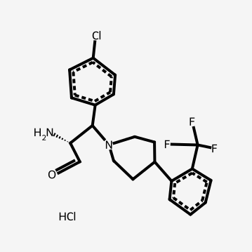 Cl.N[C@@H](C=O)C(c1ccc(Cl)cc1)N1CCC(c2ccccc2C(F)(F)F)CC1